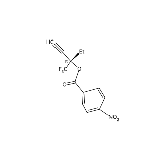 C#C[C@](CC)(OC(=O)c1ccc([N+](=O)[O-])cc1)C(F)(F)F